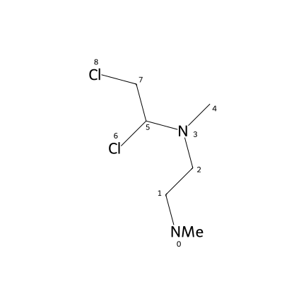 CNCCN(C)C(Cl)CCl